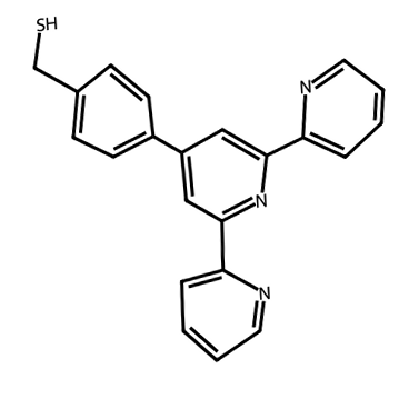 SCc1ccc(-c2cc(-c3ccccn3)nc(-c3ccccn3)c2)cc1